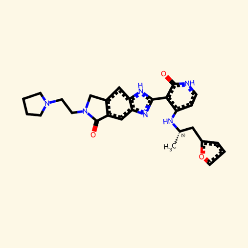 C[C@@H](Cc1ccco1)Nc1cc[nH]c(=O)c1-c1nc2cc3c(cc2[nH]1)CN(CCN1CCCC1)C3=O